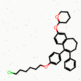 ClCCCCCCOc1ccc(C2=C(c3ccccc3)CCCc3cc(OC4CCCCO4)ccc32)cc1